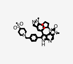 Cn1ncc2cc(-c3c(-c4ccc(CN5CCC(S(C)(=O)=O)CC5)cc4)[nH]c4ncc5c(c34)n(C3CCCC3)c(=O)n5C)ccc21